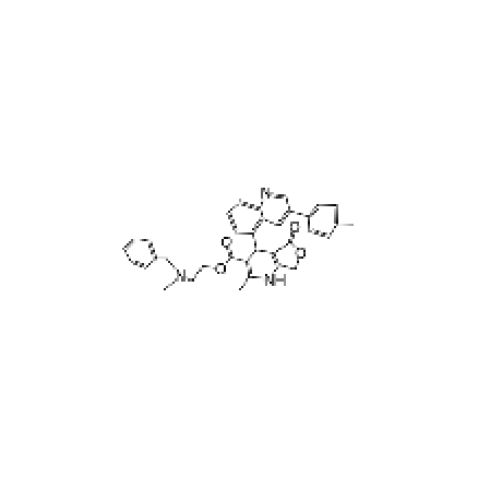 CC1=C(C(=O)OCCN(C)Cc2ccccc2)C(c2cccc3ncc(-c4ccc(C)cc4)cc23)C2=C(COC2=O)N1